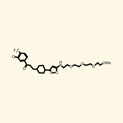 COCCOCCOCCOCCNc1cc(C2CCC(CCC(=O)c3ccc(C(F)(F)F)c(Cl)c3)CC2)no1